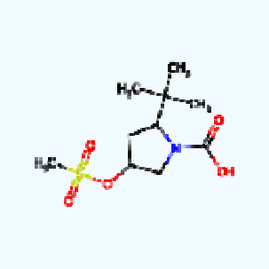 CC(C)(C)C1CC(OS(C)(=O)=O)CN1C(=O)O